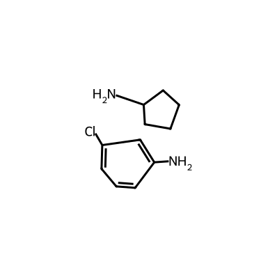 NC1CCCC1.Nc1cccc(Cl)c1